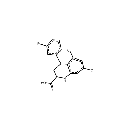 O=C(O)C1CC(c2cccc(F)c2)c2c(Cl)cc(Cl)cc2N1